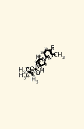 Cc1nc(N2C[C@@H]3C[C@H]2CN3C(=O)OC(C)(C)C)ccc1F